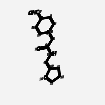 O=CC1CCN(CC(=O)NCC2CCCO2)CC1